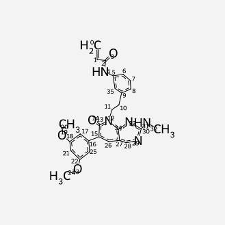 C=CC(=O)Nc1cccc(CCn2c(=O)c(-c3cc(OC)cc(OC)c3)cc3cnc(NC)nc32)c1